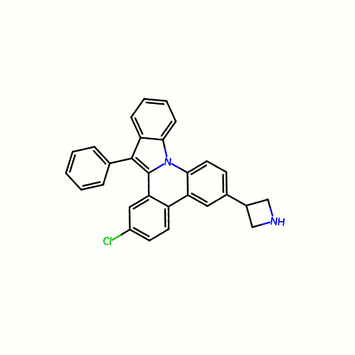 Clc1ccc2c3cc(C4CNC4)ccc3n3c4ccccc4c(-c4ccccc4)c3c2c1